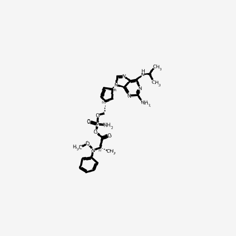 CON(c1ccccc1)[C@@H](C)C(=O)OP(N)(=O)OC[C@@H]1C=C[C@H](n2cnc3c(NC(C)C)nc(N)nc32)C1